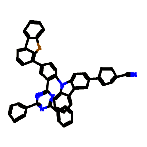 N#Cc1ccc(-c2ccc3c(c2)c2ccccc2n3-c2ccc(-c3cccc4c3sc3ccccc34)cc2-c2nc(-c3ccccc3)nc(-c3ccccc3)n2)cc1